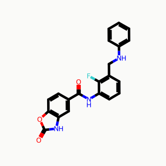 O=C(Nc1cccc(CNc2ccccc2)c1F)c1ccc2oc(=O)[nH]c2c1